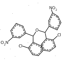 O=[N+]([O-])c1cccc(C(OC(c2cccc([N+](=O)[O-])c2)c2ccccc2Cl)c2ccccc2Cl)c1